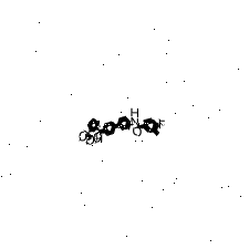 Cc1cc(C(=O)Nc2ccc(-c3ccc(C(=O)[C@@H]4CCC[C@H]4C(=O)O)cc3)cc2)ccc1F